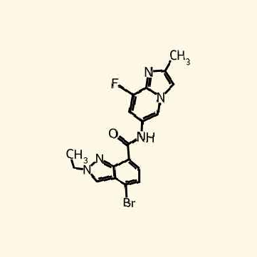 CCn1cc2c(Br)ccc(C(=O)Nc3cc(F)c4nc(C)cn4c3)c2n1